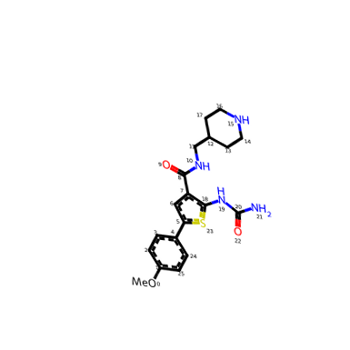 COc1ccc(-c2cc(C(=O)NCC3CCNCC3)c(NC(N)=O)s2)cc1